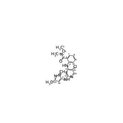 CON(C)C(=O)c1ccccc1Nc1cc(Nc2cc(C)nn2C)ncc1Cl